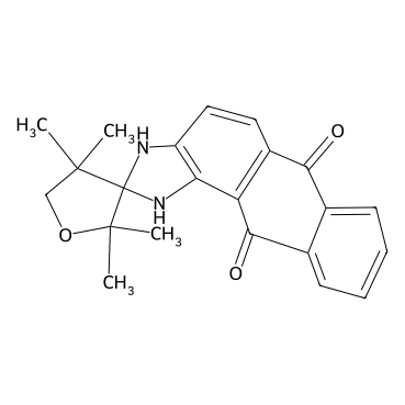 CC1(C)COC(C)(C)C12Nc1ccc3c(c1N2)C(=O)c1ccccc1C3=O